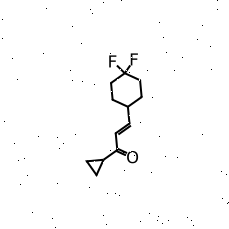 O=C(/C=C/C1CCC(F)(F)CC1)C1CC1